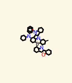 Cc1cc2c3c(c1)-n1c4c(ccc(N(c5ccccc5)c5ccccc5)c4c4c1c1ccccc1n4-c1ccccc1)B3c1cccc3c4oc5ccccc5c4n-2c13